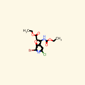 CCOC(=O)Nc1c(C(=O)OCC)oc2c(Br)nc(Cl)cc12